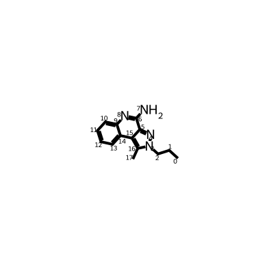 CCCn1nc2c(N)nc3ccccc3c2c1C